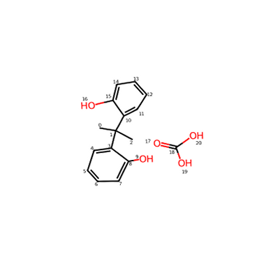 CC(C)(c1ccccc1O)c1ccccc1O.O=C(O)O